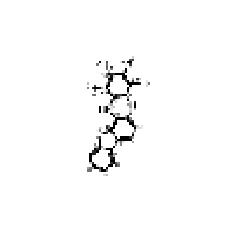 [2H]c1c([2H])c([2H])c(Nc2cccc3c2oc2ccccc23)c([2H])c1[2H]